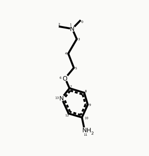 CN(C)CCCOc1ccc(N)cn1